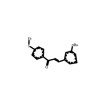 CCCCc1cccc(C=CC(=O)c2ccc(SCC)cc2)c1